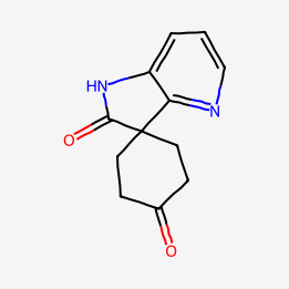 O=C1CCC2(CC1)C(=O)Nc1cccnc12